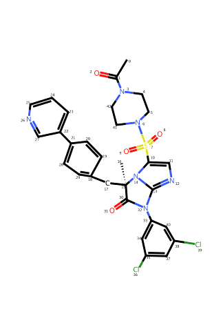 CC(=O)N1CCN(S(=O)(=O)c2cnc3n2[C@](C)(Cc2ccc(-c4cccnc4)cc2)C(=O)N3c2cc(Cl)cc(Cl)c2)CC1